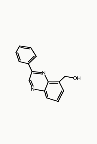 OCc1cccc2ncc(-c3ccccc3)nc12